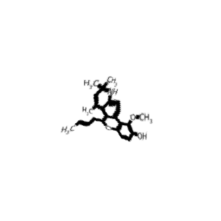 CC=CCC1Oc2ccc(O)c(OC)c2-c2ccc3c(c21)C(C)=CC(C)(C)N3